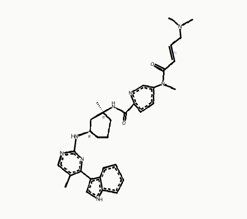 Cc1cnc(N[C@@H]2CCC[C@](C)(NC(=O)c3ccc(N(C)C(=O)/C=C/CN(C)C)cn3)C2)nc1-c1c[nH]c2ccccc12